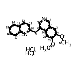 COc1cc2cncc(Cc3ccc4ccccc4n3)c2cc1OC.Cl.Cl